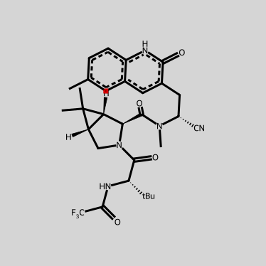 Cc1ccc2[nH]c(=O)c(C[C@H](C#N)N(C)C(=O)[C@@H]3[C@@H]4[C@H](CN3C(=O)[C@@H](NC(=O)C(F)(F)F)C(C)(C)C)C4(C)C)cc2c1